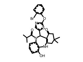 CC(C)C(=O)N1c2cccc(O)c2NC2=C(C(=O)CC(C)(C)C2)C1c1cnc(Oc2ccccc2Br)s1